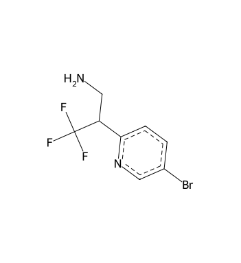 NCC(c1ccc(Br)cn1)C(F)(F)F